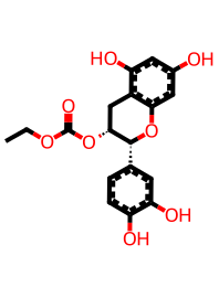 CCOC(=O)O[C@@H]1Cc2c(O)cc(O)cc2O[C@@H]1c1ccc(O)c(O)c1